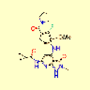 COc1c(Nc2cc(NC(=O)C3CC3)nc3[nH]n(C)c(=O)c23)ccc(C(=O)N2CCCC2)c1F